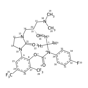 [2H]C([2H])([2H])N(C(=O)Oc1c(N2CCN(C[C@@H](O)CN(C)C)C2=O)cc(C(F)(F)F)cc1C(F)(F)F)c1ccc(F)cc1